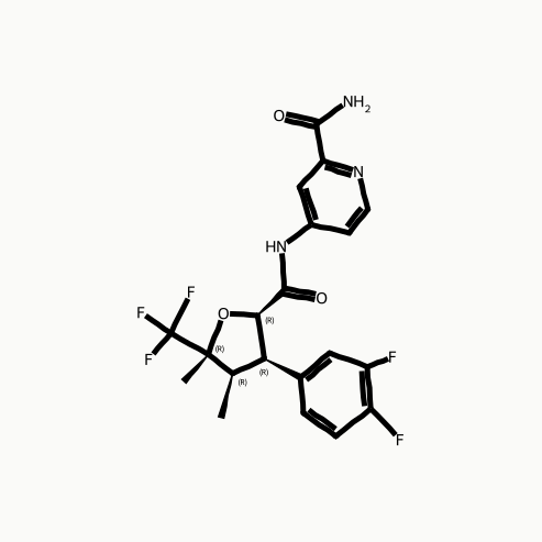 C[C@@H]1[C@H](c2ccc(F)c(F)c2)[C@H](C(=O)Nc2ccnc(C(N)=O)c2)O[C@@]1(C)C(F)(F)F